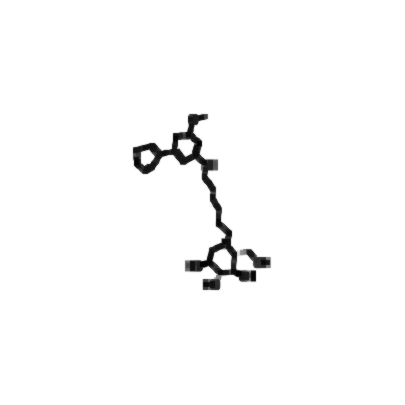 COc1cc(NCCCCCCN2C[C@H](O)[C@@H](O)[C@H](O)[C@H]2CO)cc(-c2ccccc2)c1